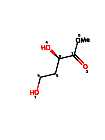 COC(=O)[C@H](O)CCO